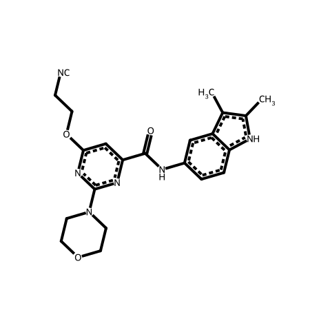 [C-]#[N+]CCOc1cc(C(=O)Nc2ccc3[nH]c(C)c(C)c3c2)nc(N2CCOCC2)n1